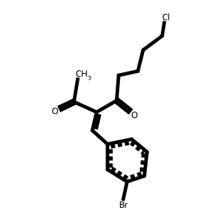 CC(=O)C(=Cc1cccc(Br)c1)C(=O)CCCCCl